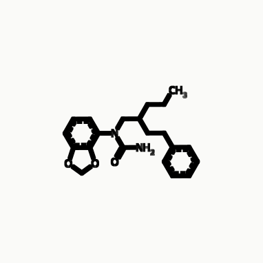 CCCC(CCc1ccccc1)CN(C(N)=O)c1cccc2c1OCO2